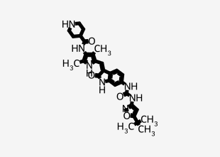 Cc1[nH]c(/C=C2\C(=O)Nc3cc(NC(=O)Nc4cc(C(C)(C)C)on4)ccc32)c(C)c1NC(=O)C1CCNCC1